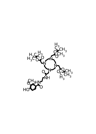 COc1cc(C(=O)NCCNC(=O)CN2CCN(CC(=O)OC(C)(C)C)CCN(CC(=O)OC(C)(C)C)CCN(CC(=O)OC(C)(C)C)CC2)ccc1O